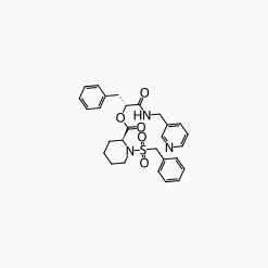 O=C(NCc1cccnc1)[C@@H](Cc1ccccc1)OC(=O)[C@@H]1CCCCN1S(=O)(=O)Cc1ccccc1